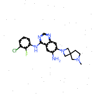 CN1CCC2(C1)CN(c1cc3ncnc(Nc4cccc(Cl)c4F)c3cc1N)C2